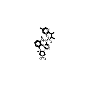 COc1cccc(OC)c1-n1c(NS(=O)(=O)C(C)C(C)c2ncc(C)cn2)nnc1[C@H]1CCS(=O)(=O)C1